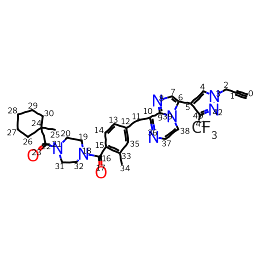 C#CCn1cc(-c2cnc3c(Cc4ccc(C(=O)N5CCN(C(=O)C6(C)CCCCC6)CC5)c(C)c4)nccn23)c(C(F)(F)F)n1